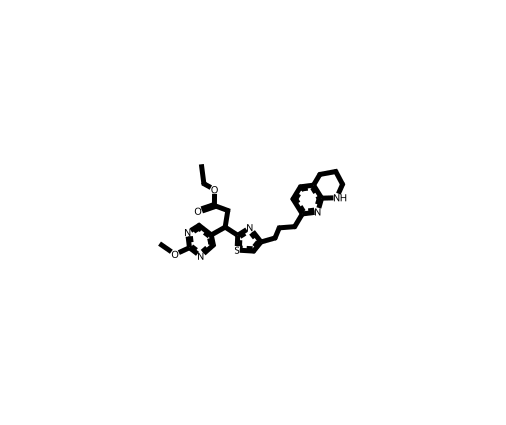 CCOC(=O)CC(c1cnc(OC)nc1)c1nc(CCCc2ccc3c(n2)NCCC3)cs1